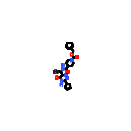 CCC(NC(=O)C1CCN(C(=O)OCc2ccccc2)CC1)c1nnc(C2CCCC2)[nH]c1=O